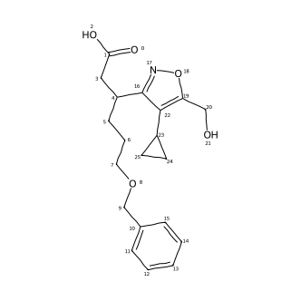 O=C(O)CC(CCCOCc1ccccc1)c1noc(CO)c1C1CC1